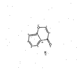 O=c1ccoc2ccccc12.[K]